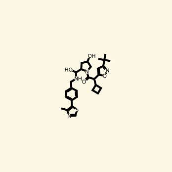 Cc1ncsc1-c1ccc(CNC(O)C2CC(O)CN2C(=O)C(c2cc(C(C)(C)C)no2)C2CCC2)cc1